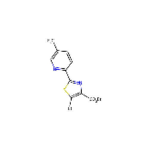 CCOC(=O)c1nc(-c2ccc(C(F)(F)F)cn2)sc1CC